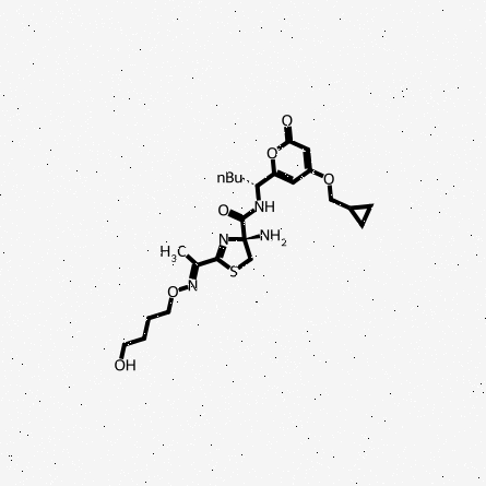 CCCC[C@@H](NC(=O)[C@]1(N)CSC(/C(C)=N/OCCCCO)=N1)c1cc(OCC2CC2)cc(=O)o1